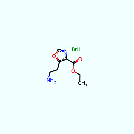 Br.CCOC(=O)c1ncoc1CCN